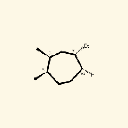 CC[C@H]1C[C@H](C)[C@H](C)CC[C@H]1F